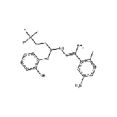 Cc1ccc(N)cc1/C(N)=N/NC(CCC(F)(F)F)Sc1ccccc1N